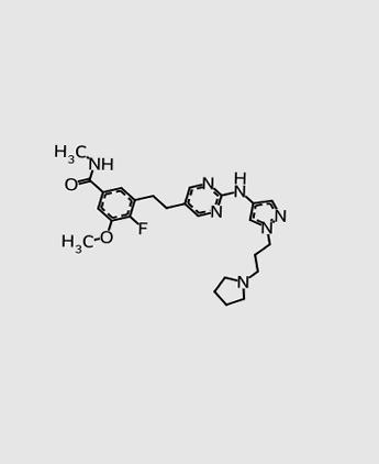 CNC(=O)c1cc(CCc2cnc(Nc3cnn(CCCN4CCCC4)c3)nc2)c(F)c(OC)c1